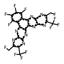 FCc1nc2nc3c(nc2nc1C(F)(F)F)c1nc2nc(C(F)(F)F)c(CF)nc2nc1c1c(F)c(F)c(F)c(F)c31